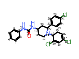 O=C(Nc1ccccc1)NC1CCN(C2CC=C(Cl)C=C2Cl)C(c2ccc(Cl)cc2)C1